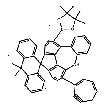 CC1(C)c2ccccc2C2(c3ccccc31)c1ccc(C3=CC=CCC#C3)c3c1-c1c2ccc(B2OC(C)(C)C(C)(C)O2)c1-c1ccccc1N3